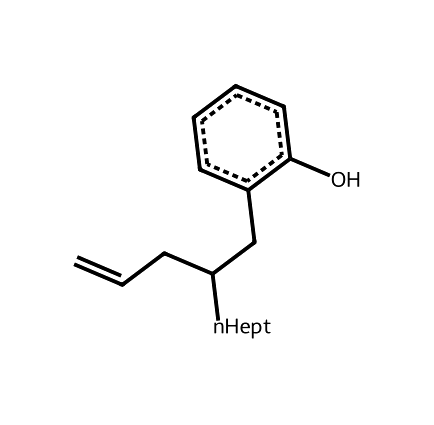 C=CCC(CCCCCCC)Cc1ccccc1O